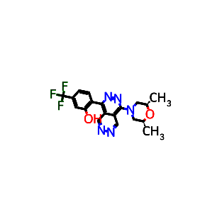 C[C@@H]1CN(c2nnc(-c3ccc(C(F)(F)F)cc3O)c3cnncc23)C[C@H](C)O1